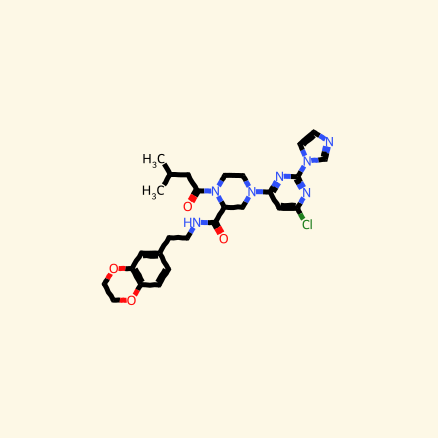 CC(C)CC(=O)N1CCN(c2cc(Cl)nc(-n3ccnc3)n2)CC1C(=O)NCCc1ccc2c(c1)OCCO2